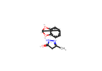 CC1=NNC(=O)C1.c1cc2c3cc1C(O2)O3